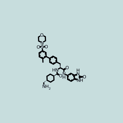 Cc1ccc(S(=O)(=O)N2CCOCC2)cc1-c1ccc(C[C@H](NC(=O)[C@H]2CC[C@H](CN)CC2)C(=O)Nc2ccc3[nH]c(=O)[nH]c3c2)cc1